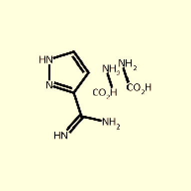 N=C(N)c1cc[nH]n1.NC(=O)O.NC(=O)O